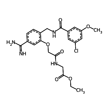 CCOC(=O)CNC(=O)COc1cc(C(=N)N)ccc1CNC(=O)c1cc(Cl)cc(OC)c1